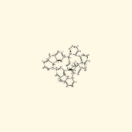 c1ccc(N(c2ccccc2)c2ccc3sc4cccc(-c5ccc6c(c5)oc5cccc(-c7ccc8c(c7)oc7ccccc78)c56)c4c3c2)cc1